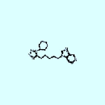 c1cc2c(cn1)ncn2CCCCCc1nnnn1C1CCCCC1